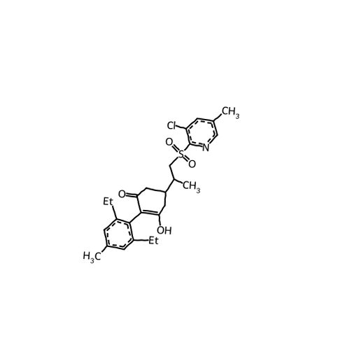 CCc1cc(C)cc(CC)c1C1=C(O)CC(C(C)CS(=O)(=O)c2ncc(C)cc2Cl)CC1=O